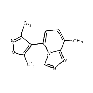 Cc1noc(C)c1-c1ccc(C)c2nncn12